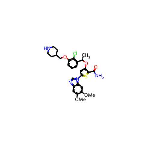 COc1cc2ncn(-c3cc(O[C@H](C)c4cccc(OCC5CCNCC5)c4Cl)c(C(N)=O)s3)c2cc1OC